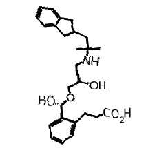 CC(C)(CC1Cc2ccccc2C1)NC[C@@H](O)CO[C@@H](O)c1ccccc1CCC(=O)O